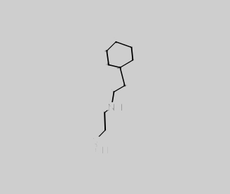 CSCCNCCC1CCCCC1